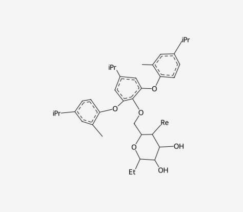 CCC1OC(COc2c(Oc3ccc(C(C)C)cc3C)cc(C(C)C)cc2Oc2ccc(C(C)C)cc2C)[CH]([Re])C(O)C1O